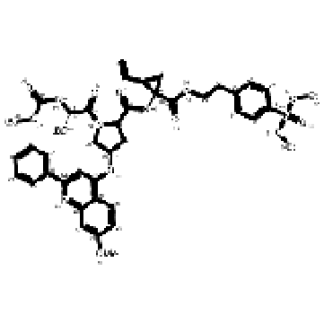 C=CC1C[C@]1(NC(=O)C1C[C@@H](Oc2cc(-c3ccccc3)nc3cc(OC)ccc23)CN1C(=O)[C@@H](NC(=O)OC(C)(C)C)C(C)(C)C)C(=O)NCCc1ccc(P(=O)(OCC)OCC)cc1